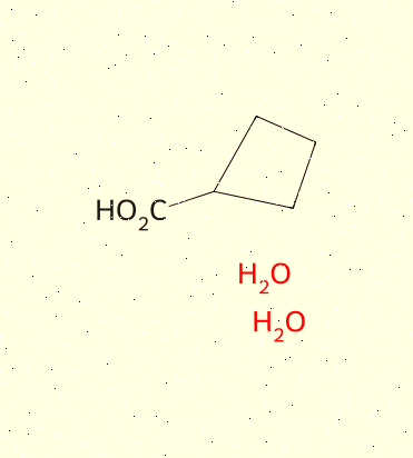 O.O.O=C(O)C1CCC1